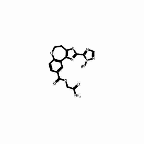 CC(C)n1ncnc1-c1nc2c(s1)CCOc1ccc(C(=O)OCC(N)=O)cc1-2